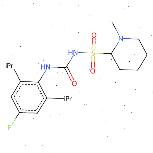 CC(C)c1cc(F)cc(C(C)C)c1NC(=O)NS(=O)(=O)C1CCCCN1C